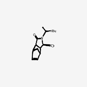 CCCCC(C)N1C(=O)C2C3C=CC(C3)C2C1=O